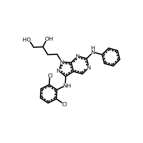 OCC(O)CCn1nc(Nc2c(Cl)cccc2Cl)c2cnc(Nc3ccccc3)nc21